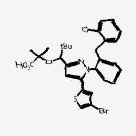 CC(C)(OC(c1cc(-c2cc(Br)cs2)n(-c2ccccc2Cc2ccccc2Cl)n1)C(C)(C)C)C(=O)O